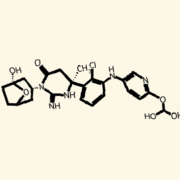 C[C@@]1(c2cccc(Nc3ccc(OC(O)O)nc3)c2Cl)CC(=O)N([C@@H]2CC3CC[C@@](O)(C2)O3)C(=N)N1